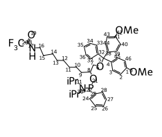 COc1ccc(C(OCC(CCCCCCCCNC(=O)C(F)(F)F)OP(c2ccccc2)N(C(C)C)C(C)C)(c2ccccc2)c2ccc(OC)cc2)cc1